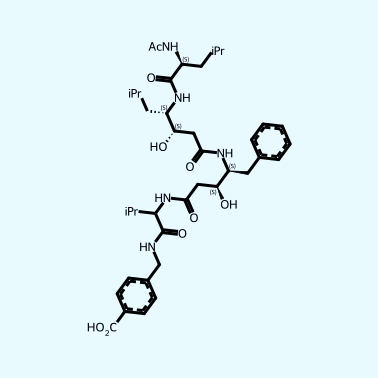 CC(=O)N[C@@H](CC(C)C)C(=O)N[C@@H](CC(C)C)[C@@H](O)CC(=O)N[C@@H](Cc1ccccc1)[C@@H](O)CC(=O)NC(C(=O)NCc1ccc(C(=O)O)cc1)C(C)C